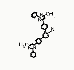 Cc1cc(-c2ccc(-c3ccc(C#N)c(-c4ccc(-c5cc(C)nc(-c6ccccc6)n5)cc4)c3)cc2)nc(-c2ccccc2)n1